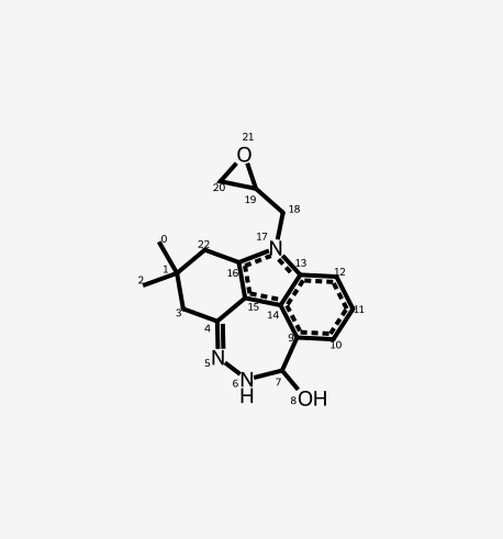 CC1(C)CC2=NNC(O)c3cccc4c3c2c(n4CC2CO2)C1